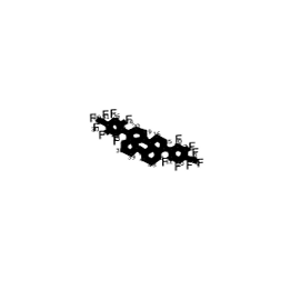 Fc1c(F)c(C(F)(F)F)c(F)c(F)c1-c1ccc2c3ccc(-c4c(F)c(F)c(C(F)(F)F)c(F)c4F)c4cccc(c5cccc1c52)c43